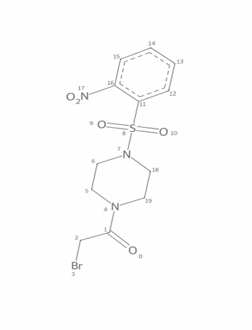 O=C(CBr)N1CCN(S(=O)(=O)c2ccccc2[N+](=O)[O-])CC1